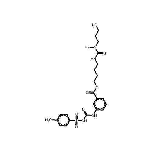 CCCCN(S)C(=O)NCCCCOC(=O)c1cccc(NC(=O)NS(=O)(=O)c2ccc(C)cc2)c1